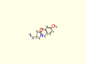 COc1ccc(CN2CC(CI)CC2=O)cc1